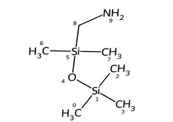 C[Si](C)(C)O[Si](C)(C)CN